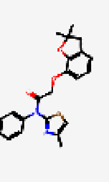 Cc1csc(N(C(=O)COc2cccc3c2OC(C)(C)C3)c2ccccc2)n1